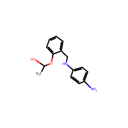 CC(O)Oc1ccccc1CNc1ccc(N)cc1